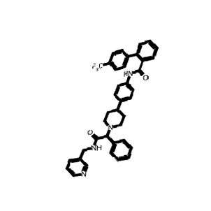 O=C(Nc1ccc(C2CCN(C(C(=O)NCc3cccnc3)c3ccccc3)CC2)cc1)c1ccccc1-c1ccc(C(F)(F)F)cc1